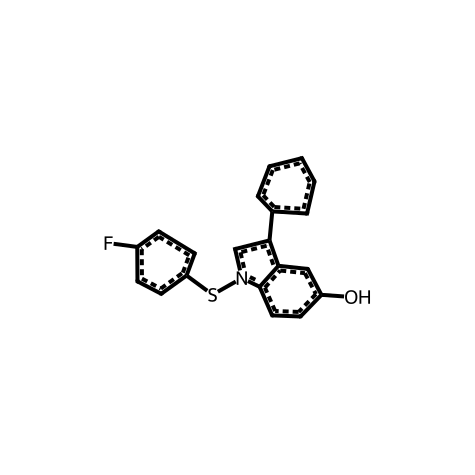 Oc1ccc2c(c1)c(-c1ccccc1)cn2Sc1ccc(F)cc1